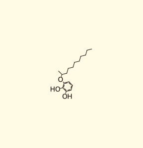 CCCCCCCCCC(C)Oc1cccc(O)c1O